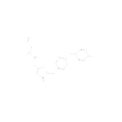 C=CCNC(=S)S[C@@H]1CC(=O)N(Cc2ccc(Oc3ccc(F)cc3)nc2)C1